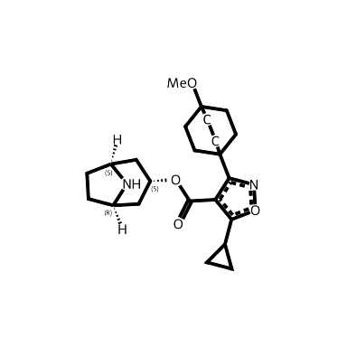 COC12CCC(c3noc(C4CC4)c3C(=O)O[C@@H]3C[C@H]4CC[C@@H](C3)N4)(CC1)CC2